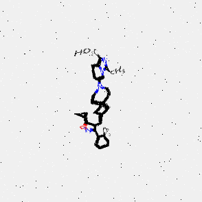 Cc1nc(C(=O)O)c2ccc(N3CCC4(CC3)CC(=Cc3c(-c5ccccc5C(F)(F)F)noc3C3CC3)C4)cn12